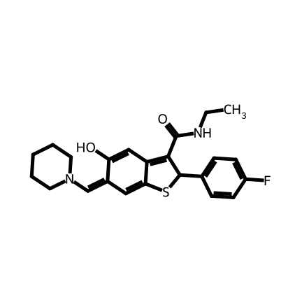 CCNC(=O)C1=c2cc(O)c(=CN3CCCCC3)cc2SC1c1ccc(F)cc1